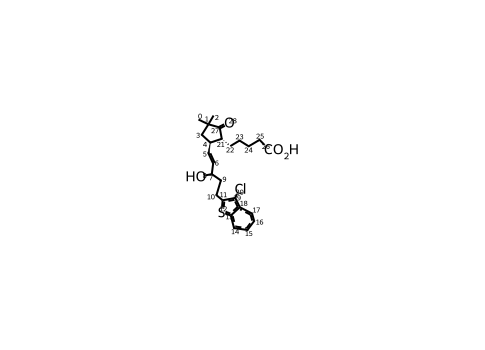 CC1(C)C[C@H](/C=C/C(O)CCc2sc3ccccc3c2Cl)[C@@H](CCCCC(=O)O)C1=O